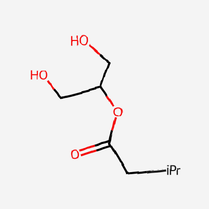 CC(C)CC(=O)OC(CO)CO